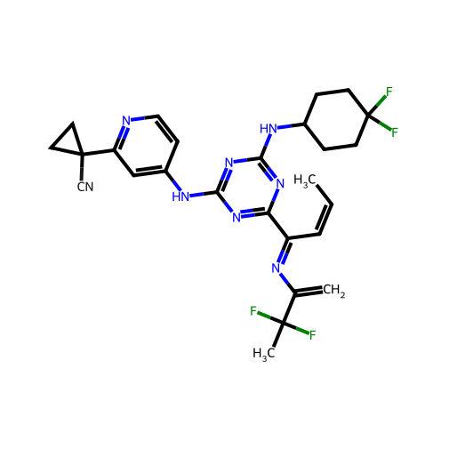 C=C(/N=C(\C=C/C)c1nc(Nc2ccnc(C3(C#N)CC3)c2)nc(NC2CCC(F)(F)CC2)n1)C(C)(F)F